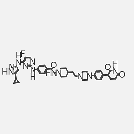 O=C1CCC(c2ccc(N3CCN(CCC4CCN(NC(=O)c5ccc(Nc6ncc(F)c(Nc7cc(C8CC8)[nH]n7)n6)cc5)CC4)CC3)cc2)C(=O)N1